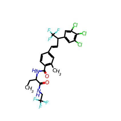 CCC(NC(=O)c1ccc(/C=C/C(c2cc(Cl)c(Cl)c(Cl)c2)C(F)(F)F)cc1C)C(=O)NCC(F)(F)F